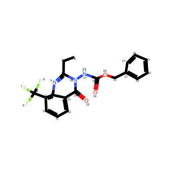 CCc1nc2c(C(F)(F)F)cccc2c(=O)n1NC(=O)OCc1ccccc1